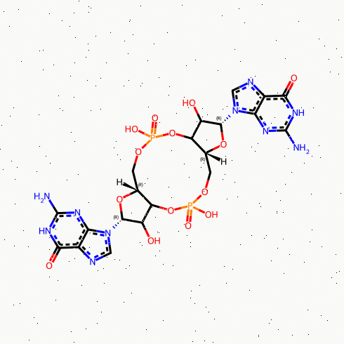 Nc1nc2c(ncn2[C@@H]2O[C@@H]3COP(=O)(O)OC4C(O)[C@H](n5cnc6c(=O)[nH]c(N)nc65)O[C@@H]4COP(=O)(O)OC3C2O)c(=O)[nH]1